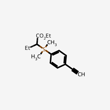 C#Cc1ccc(S(C)(C)C(CC)C(=O)OCC)cc1